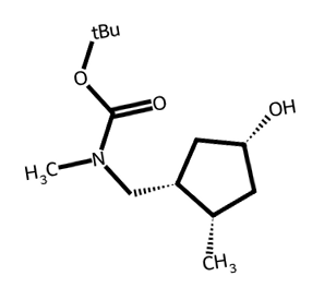 C[C@H]1C[C@@H](O)C[C@H]1CN(C)C(=O)OC(C)(C)C